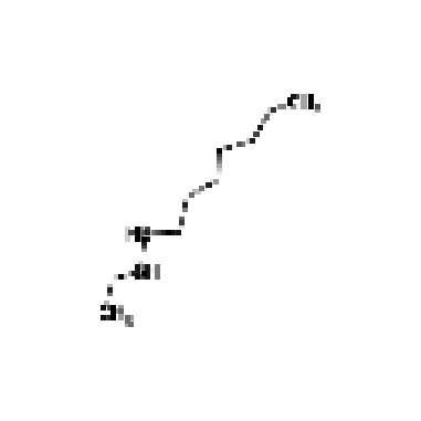 CCBBCCCCCCC